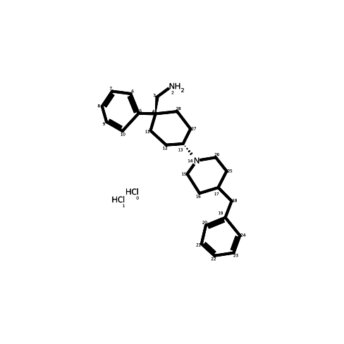 Cl.Cl.NC[C@]1(c2ccccc2)CC[C@@H](N2CCC(Cc3ccccc3)CC2)CC1